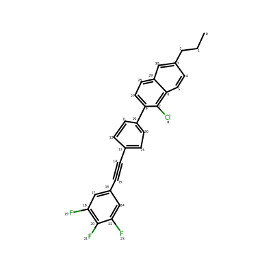 CCCc1ccc2c(Cl)c(-c3ccc(C#Cc4cc(F)c(F)c(F)c4)cc3)ccc2c1